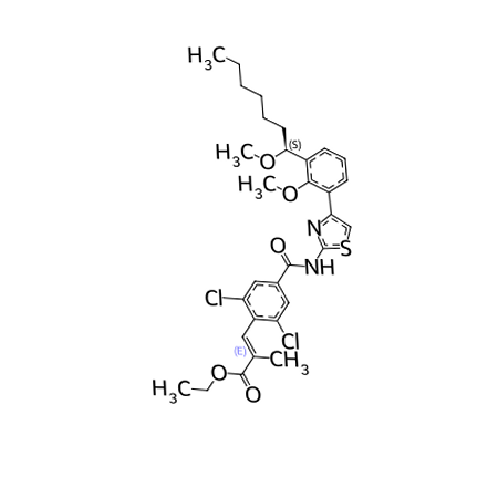 CCCCCC[C@H](OC)c1cccc(-c2csc(NC(=O)c3cc(Cl)c(/C=C(\C)C(=O)OCC)c(Cl)c3)n2)c1OC